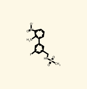 CS(=O)(=O)NCc1cc(F)cc(-c2cccc([N+](=O)[O-])c2N)c1